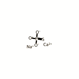 [Ca+2].[Na+].[O-]P([O-])([O-])=S